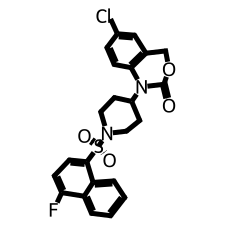 O=C1OCc2cc(Cl)ccc2N1C1CCN(S(=O)(=O)c2ccc(F)c3ccccc23)CC1